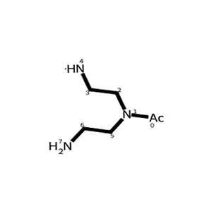 CC(=O)N(CC[NH])CCN